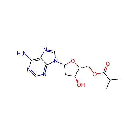 CC(C)C(=O)OC[C@H]1O[C@@H](n2cnc3c(N)ncnc32)C[C@@H]1O